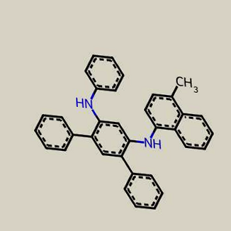 Cc1ccc(Nc2cc(Nc3ccccc3)c(-c3ccccc3)cc2-c2ccccc2)c2ccccc12